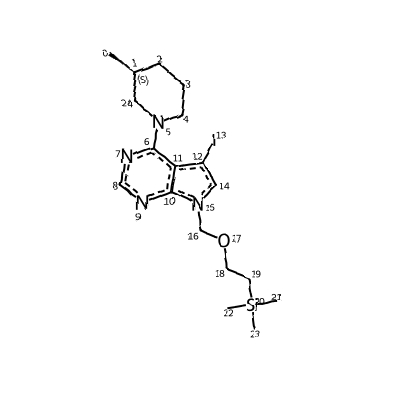 C[C@H]1CCCN(c2ncnc3c2c(I)cn3COCC[Si](C)(C)C)C1